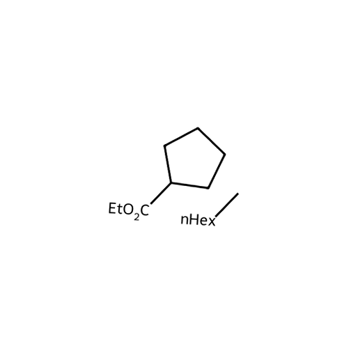 CCCCCCC.CCOC(=O)C1CCCC1